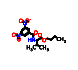 CCCCOC(=O)[C@@H](NC(=O)c1cc([N+](=O)[O-])cc([N+](=O)[O-])c1)C(C)C